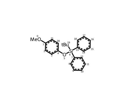 COc1ccc(O[Si](c2ccccc2)(c2ccccc2)C(C)(C)C)cc1